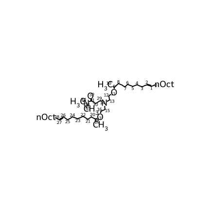 CCCCCCCCC=CCCCCCCC(C)OCCN(CCOC(C)CCCCCCC=CCCCCCCCC)CCC(=O)N(C)C